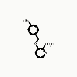 CCCCc1ccc(COc2cccnc2C(=O)O)cc1